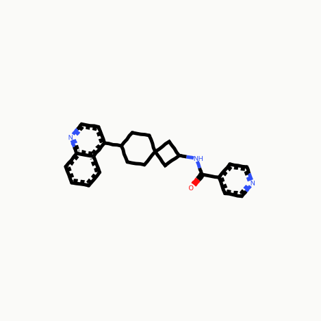 O=C(NC1CC2(CCC(c3ccnc4ccccc34)CC2)C1)c1ccncc1